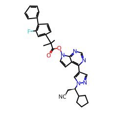 CC(C)(C(=O)On1ccc2c(-c3cnn([C@H](CC#N)C4CCCC4)c3)ncnc21)c1ccc(-c2ccccc2)c(F)c1